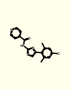 Cc1cc(Cl)cc(C)c1-c1csc(NC(=O)c2ccncc2)n1